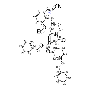 CCOc1cccc(/C=C/C#N)c1CN1CCN(C(=O)[C@H](NC(=O)OCc2ccccc2)C2CCN(CCc3ccccc3)CC2)CC1